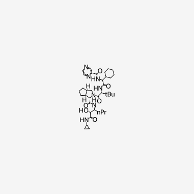 CCCC(NC(=O)[C@@H]1[C@H]2CCC[C@H]2CN1C(=O)[C@@H](NC(=O)[C@@H](NC(=O)c1cnccn1)C1CCCCC1)C(C)(C)C)C(O)C(=O)NC1CC1